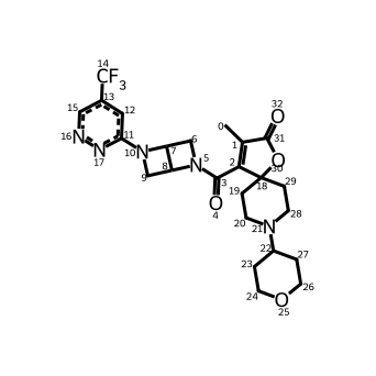 CC1=C(C(=O)N2CC3C2CN3c2cc(C(F)(F)F)cnn2)C2(CCN(C3CCOCC3)CC2)OC1=O